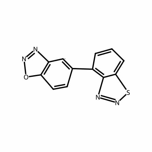 [c]1c(-c2cccc3snnc23)ccc2onnc12